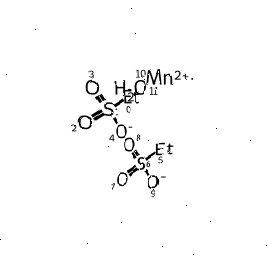 CCS(=O)(=O)[O-].CCS(=O)(=O)[O-].O.[Mn+2]